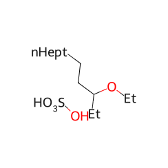 CCCCCCCCCC(CC)OCC.O=S(=O)(O)O